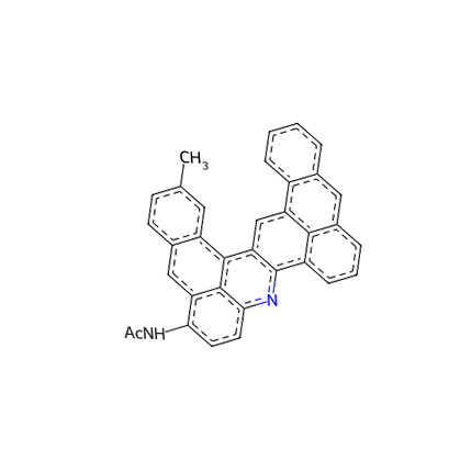 CC(=O)Nc1ccc2nc3c4cccc5cc6ccccc6c(cc3c3c6cc(C)ccc6cc1c23)c54